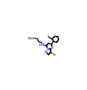 CNCCCNc1cc(-c2ccccc2CI)nc2c(Br)cnn12